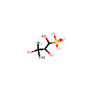 CC(O)(C=O)C(O)C(O)P(=O)(O)O